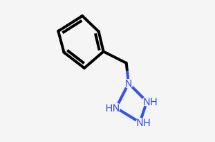 c1ccc(CN2NNN2)cc1